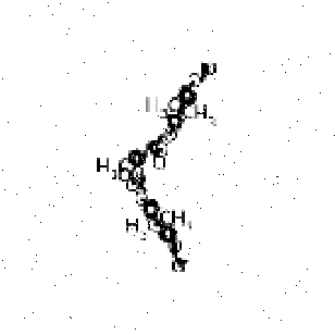 Cc1ccc(N2CC(COc3ccc(C(C)(C)c4ccc(OCC5CO5)cc4)cc3)OC2=O)cc1N1CC(COc2ccc(C(C)(C)c3ccc(OCC4CO4)cc3)cc2)OC1=O